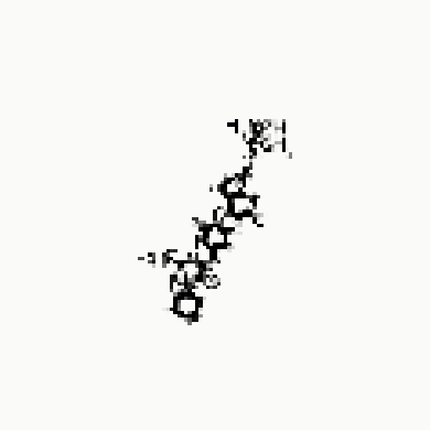 CC(C)(C)OC(=O)N[C@H](Cc1cc(F)c(Oc2cc(Cl)nc3c2ccn3COCCS(C)(C)C)c(F)c1)C(=O)NC1CCCCC1